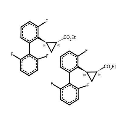 CCOC(=O)[C@@H]1C[C@H]1c1c(F)cccc1-c1c(F)cccc1F.CCOC(=O)[C@@H]1C[C@H]1c1c(F)cccc1-c1c(F)cccc1F